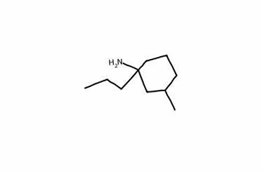 CCCC1(N)CCCC(C)C1